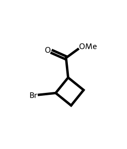 COC(=O)C1CCC1Br